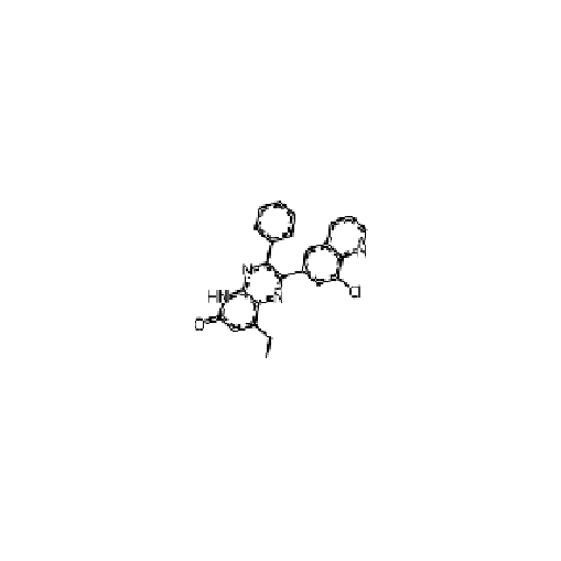 CCc1cc(=O)[nH]c2nc(-c3ccccc3)c(-c3cc(Cl)c4ncccc4c3)nc12